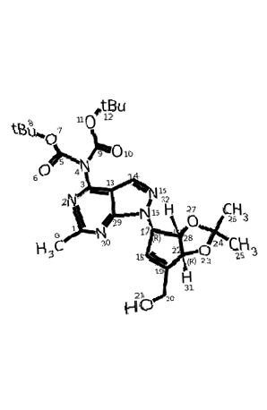 Cc1nc(N(C(=O)OC(C)(C)C)C(=O)OC(C)(C)C)c2cnn([C@@H]3C=C(CO)[C@H]4OC(C)(C)O[C@H]43)c2n1